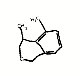 Cc1cccc2c1C(C)COC2